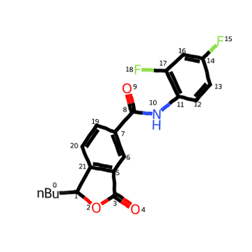 CCCCC1OC(=O)c2cc(C(=O)Nc3ccc(F)cc3F)ccc21